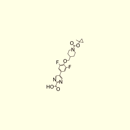 CC1(OC(=O)N2CCC(COc3c(F)cc(-c4cnc(C(=O)O)nc4)cc3F)CC2)CC1